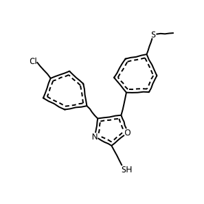 CSc1ccc(-c2oc(S)nc2-c2ccc(Cl)cc2)cc1